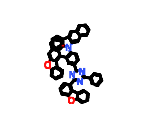 c1ccc(-c2nc(-c3ccc(-n4c5ccccc5c5cc6ccccc6cc54)c(-c4c5ccccc5cc5oc6ccccc6c45)c3)nc(-c3cccc4oc5ccccc5c34)n2)cc1